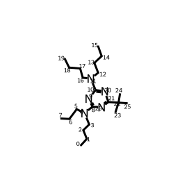 CCCCN(CCC)c1nc(N(CCCC)CCCC)nc(C(C)(C)C)n1